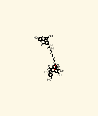 O=C1OC(O)(c2ccc(CO)cc2)C(Cc2cc(CO)c(CO)c(OCCOCCOCCOCCNC(=S)Nc3ccc4c(c3)C(=O)OC43c4ccc(O)cc4Oc4cc(O)ccc43)c2)=C1c1ccc2c(c1)OCO2